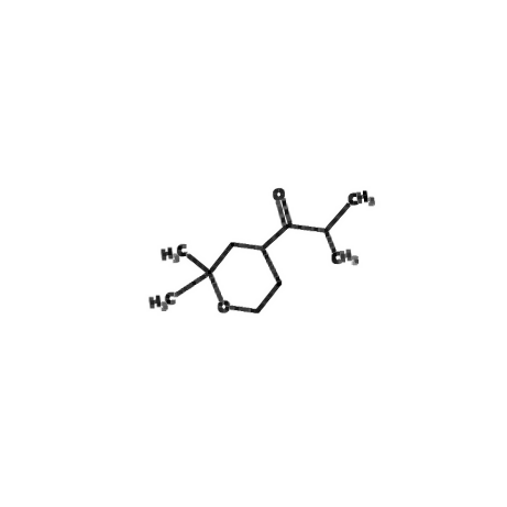 CC(C)C(=O)C1CCOC(C)(C)C1